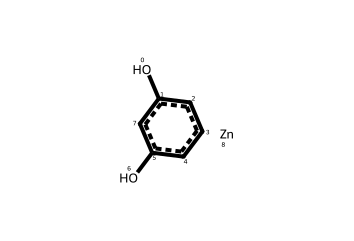 Oc1cccc(O)c1.[Zn]